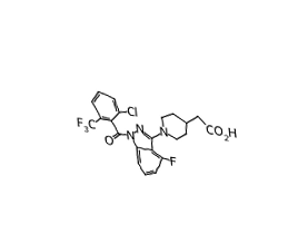 O=C(O)CC1CCN(c2nn(C(=O)c3c(Cl)cccc3C(F)(F)F)c3cccc(F)c23)CC1